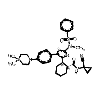 CN(c1nc([C@@H]2CCCC[C@H]2C(=O)NC2(C#N)CC2)c(-c2ccc(N3CCS(O)(O)CC3)cc2)s1)S(=O)(=O)c1ccccc1